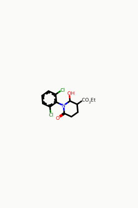 CCOC(=O)C1CCC(=O)N(c2c(Cl)cccc2Cl)C1O